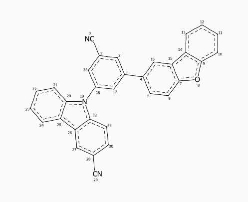 N#Cc1cc(-c2ccc3oc4ccccc4c3c2)cc(-n2c3ccccc3c3cc(C#N)ccc32)c1